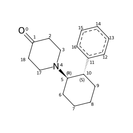 O=C1CCN([C@@H]2CCCC[C@H]2c2ccccc2)CC1